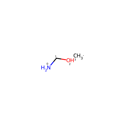 NCO.[CH3]